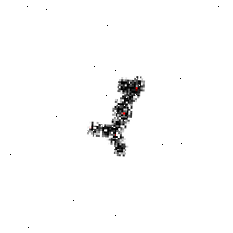 c1ccc(-c2ccc(N(c3ccc(-c4ccccc4)cc3)c3ccc(-c4ccc5ccc6c(-c7ccc(-c8nc9ccccc9n8-c8ccccc8)cc7)ccc7ccc4c5c76)cc3)cc2)cc1